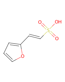 O=S(=O)(O)C=Cc1ccco1